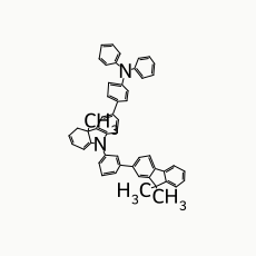 CC12CC=CC=C1N(c1cccc(-c3ccc4c(c3)C(C)(C)c3ccccc3-4)c1)c1ccc(-c3ccc(N(c4ccccc4)c4ccccc4)cc3)cc12